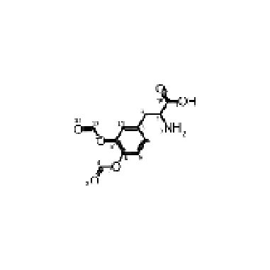 NC(Cc1ccc(OC=O)c(OC=O)c1)C(=O)O